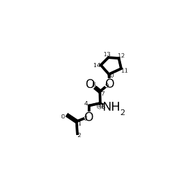 C=C(C)OC[C@H](N)C(=O)OC1CCCC1